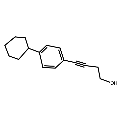 OCCC#Cc1ccc(C2CCCCC2)cc1